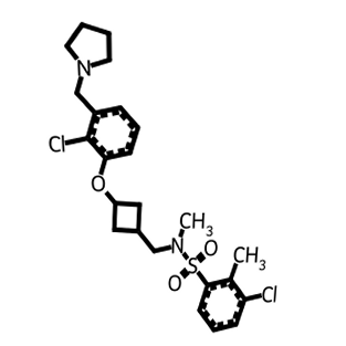 Cc1c(Cl)cccc1S(=O)(=O)N(C)CC1CC(Oc2cccc(CN3CCCC3)c2Cl)C1